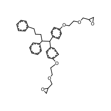 c1ccc(CCCC(c2ccccc2)C(c2ccc(OCCOCC3CO3)cc2)c2ccc(OCCOCC3CO3)cc2)cc1